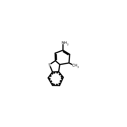 CC1C=C(N)C=C2Sc3ccccc3C21